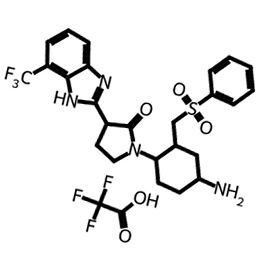 NC1CCC(N2CCC(c3nc4cccc(C(F)(F)F)c4[nH]3)C2=O)C(CS(=O)(=O)c2ccccc2)C1.O=C(O)C(F)(F)F